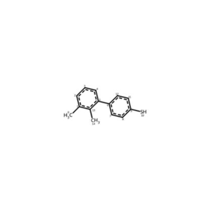 Cc1cccc(-c2ccc(S)cc2)c1C